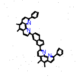 Cc1c(C)c2ccc(-c3ccc4ccc(-c5ccc6c(C)c(C)c7ccc(-c8ccccc8)nc7c6n5)cc4c3)nc2c2nc(-c3ccccc3)ccc12